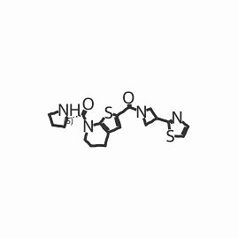 O=C(c1cc2c(s1)N(C(=O)[C@@H]1CCCN1)CCC2)N1CC(c2nccs2)C1